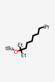 CCC(CC)(CCCCCCC(C)C)OC(C)(C)C